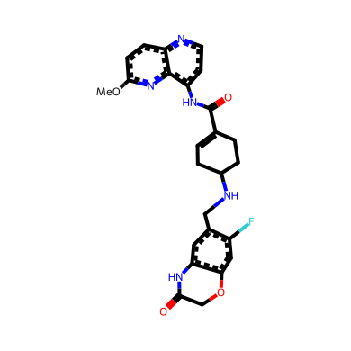 COc1ccc2nccc(NC(=O)C3=CCC(NCc4cc5c(cc4F)OCC(=O)N5)CC3)c2n1